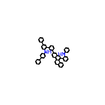 c1ccc(Nc2ccccc2-c2cc3cc(-c4cccc(-c5cc(-c6ccccc6)ccc5Nc5ccc(-c6ccccc6)cc5)c4)ccc3c3ccc4ccccc4c23)cc1